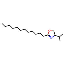 CCCCCCCCCCCCC1=NC(C(C)C)CO1